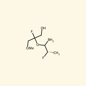 BC(OC(F)(CO)COC)[C@H](C)F